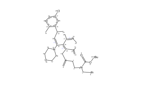 C=C(CCN(CC(C)C)C(=O)OC(C)(C)C)C/C(C(=C)C)=C(C(/C)=N\C)\C(=C/C(C)c1cc(Cl)ccc1C)N1CCOCC1